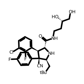 CC(C)(C)C[C@@H]1N[C@@H](C(=O)NCC[C@H](O)CO)[C@H](c2cccc(Cl)c2F)[C@@]1(C#N)c1ccc(F)cc1